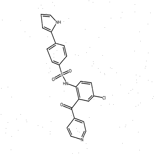 O=C(c1ccncc1)c1cc(Cl)ccc1NS(=O)(=O)c1ccc(-c2ccc[nH]2)cc1